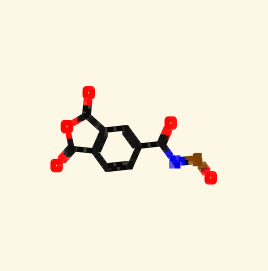 O=S=NC(=O)c1ccc2c(c1)C(=O)OC2=O